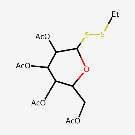 CCSSC1OC(COC(C)=O)C(OC(C)=O)C(OC(C)=O)C1OC(C)=O